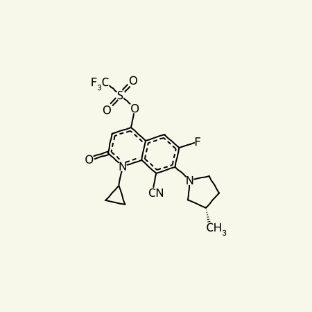 C[C@H]1CCN(c2c(F)cc3c(OS(=O)(=O)C(F)(F)F)cc(=O)n(C4CC4)c3c2C#N)C1